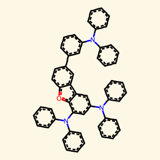 c1ccc(N(c2ccccc2)c2cccc(-c3ccc4oc5c(N(c6ccccc6)c6ccccc6)cc(N(c6ccccc6)c6ccccc6)cc5c4c3)c2)cc1